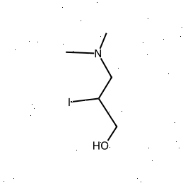 CN(C)CC(I)CO